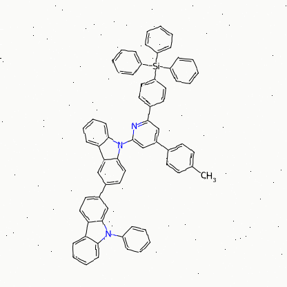 Cc1ccc(-c2cc(-c3ccc([Si](c4ccccc4)(c4ccccc4)c4ccccc4)cc3)nc(-n3c4ccccc4c4cc(-c5ccc6c7ccccc7n(-c7ccccc7)c6c5)ccc43)c2)cc1